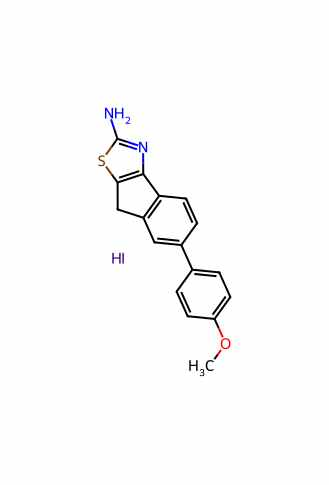 COc1ccc(-c2ccc3c(c2)Cc2sc(N)nc2-3)cc1.I